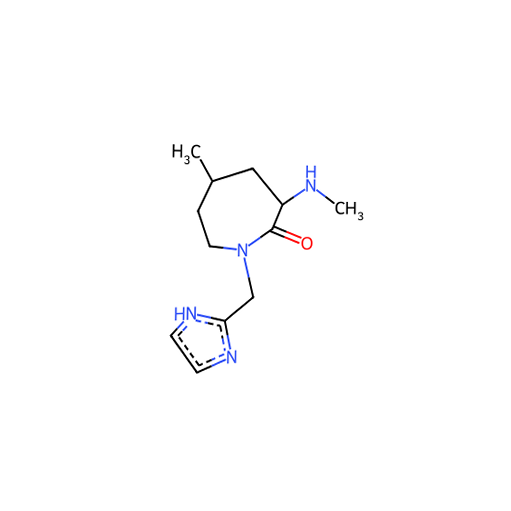 CNC1CC(C)CCN(Cc2ncc[nH]2)C1=O